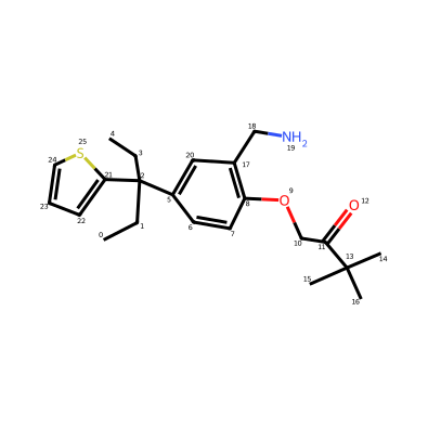 CCC(CC)(c1ccc(OCC(=O)C(C)(C)C)c(CN)c1)c1cccs1